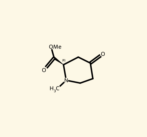 COC(=O)[C@H]1CC(=O)CCN1C